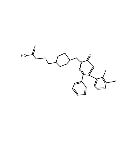 O=C(O)COCC1CCC(Cn2nc(-c3ccccc3)c(-c3cccc(F)c3F)cc2=O)CC1